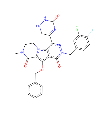 CN1CCn2c(c(OCc3ccccc3)c3c(=O)n(Cc4ccc(F)c(Cl)c4)nc(C4=NC(=O)NNC4)c32)C1=O